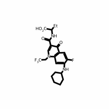 CCC(NC(=O)c1cn(CC(F)(F)F)c2cc(NC3CCCCC3)c(F)cc2c1=O)C(=O)O